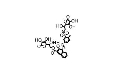 Cc1ccc(/N=N/c2c(O)c(C(=O)OCC(O)C3OC(=O)C(O)=C3O)cc3ccccc23)cc1S(=O)(=O)OCC(O)C1OC(=O)C(O)=C1O